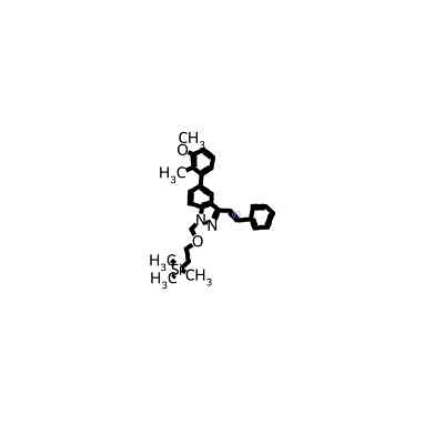 COc1cccc(-c2ccc3c(c2)c(/C=C/c2ccccc2)nn3COCC[Si](C)(C)C)c1C